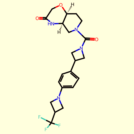 O=C1CO[C@H]2CCN(C(=O)N3CC(c4ccc(N5CC(C(F)(F)F)C5)cc4)C3)C[C@H]2N1